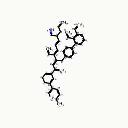 C=CCC(C=N)/C=C/C=C(C=C)/C(=C/C(=C)C1=CCCC(C(/C=C\CC)=C/C)=C1)Cc1ccc(-c2cccc(C=C)c2C=C)cc1